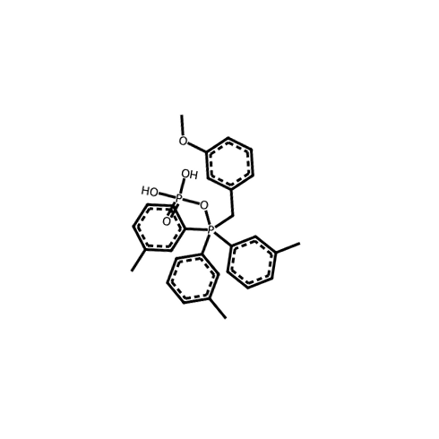 COc1cccc(CP(OP(=O)(O)O)(c2cccc(C)c2)(c2cccc(C)c2)c2cccc(C)c2)c1